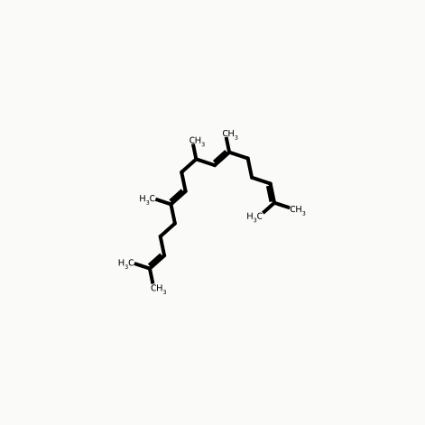 CC(C)=CCC/C(C)=C/CC(C)/C=C(\C)CCC=C(C)C